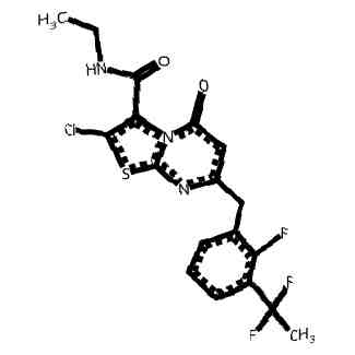 CCNC(=O)c1c(Cl)sc2nc(Cc3cccc(C(C)(F)F)c3F)cc(=O)n12